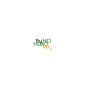 Cl.Cl.Cl.P.[Ru]